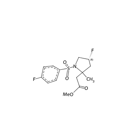 COC(=O)CC1(C)C[C@@H](F)CN1S(=O)(=O)c1ccc(F)cc1